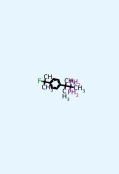 CC(C)(F)c1ccc(C(C)(C)C(C)(P)P)cc1